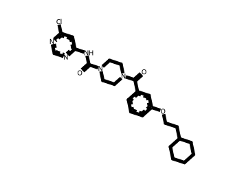 O=C(Nc1cc(Cl)ncn1)N1CCN(C(=O)c2cccc(OCCC3CCCCC3)c2)CC1